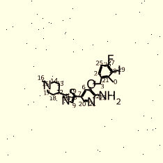 Cc1c(COc2cc(-c3cnc(C4CCN(C)CC4)s3)cnc2N)ccc(F)c1I